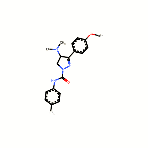 CCCOc1ccc(C2=NN(C(=O)Nc3ccc(C(F)(F)F)cc3)CC2N(C)CC)cc1